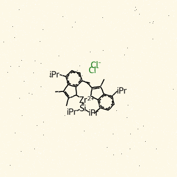 CC1=C(C)[CH]([Zr+2]([CH]2C(C)=C(C)c3c(C(C)C)ccc(C)c32)=[Si](C(C)C)C(C)C)c2c(C)ccc(C(C)C)c21.[Cl-].[Cl-]